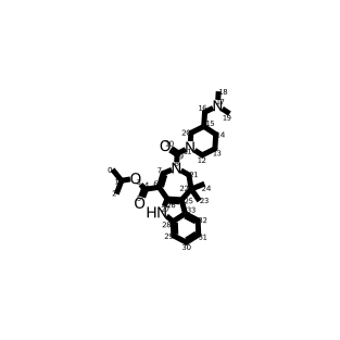 CC(C)OC(=O)C1=CN(C(=O)N2CCCC(CN(C)C)C2)CC(C)(C)c2c1[nH]c1ccccc21